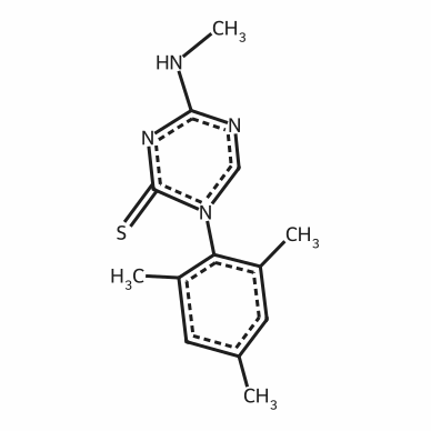 CNc1ncn(-c2c(C)cc(C)cc2C)c(=S)n1